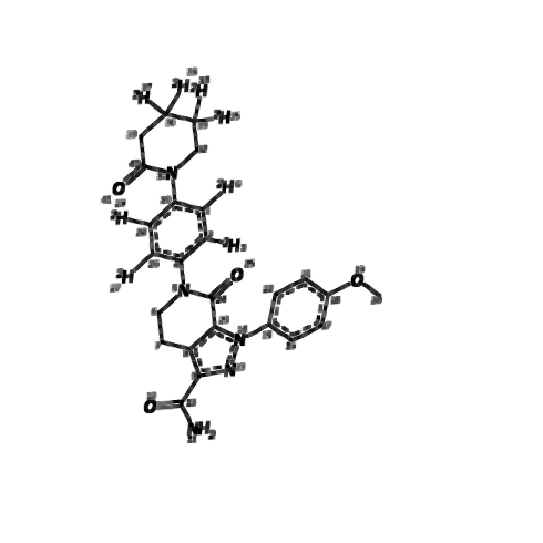 [2H]c1c([2H])c(N2CCc3c(C(N)=O)nn(-c4ccc(OC)cc4)c3C2=O)c([2H])c([2H])c1N1CC([2H])([2H])C([2H])([2H])CC1=O